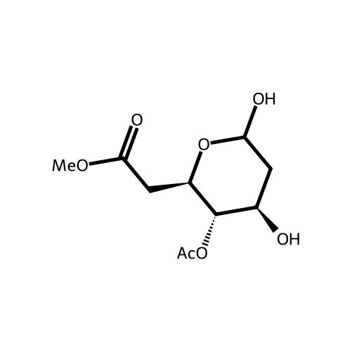 COC(=O)C[C@H]1OC(O)C[C@@H](O)[C@@H]1OC(C)=O